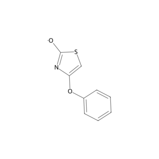 [O]c1nc(Oc2ccccc2)cs1